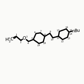 C=CCOCC1CCC(CCC2CCC(CCCC)CC2)CC1